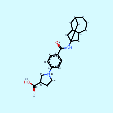 O=C(NC12CC3CCCC(C1)C(C3)C2)c1ccc(N2CCC(C(=O)O)C2)cc1